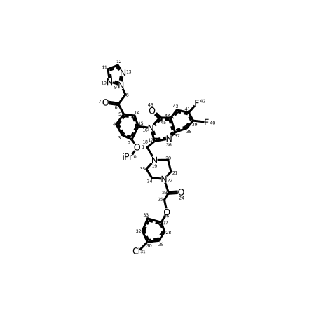 CC(C)Oc1ccc(C(=O)Cn2nccn2)cc1-n1c(CN2CCN(C(=O)COc3ccc(Cl)cc3)CC2)nc2cc(F)c(F)cc2c1=O